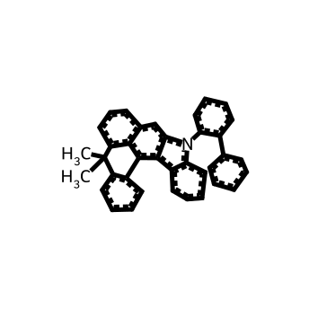 CC1(C)c2ccccc2-c2c3c1cccc3cc1c2c2ccccc2n1-c1ccccc1-c1ccccc1